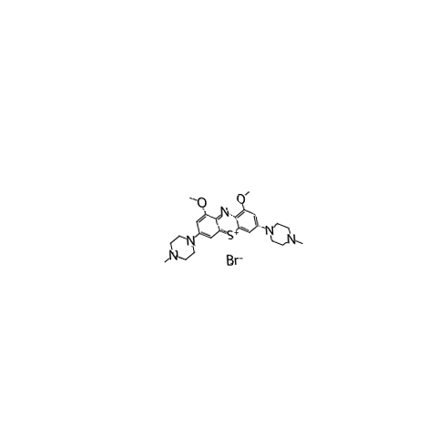 COc1cc(N2CCN(C)CC2)cc2[s+]c3cc(N4CCN(C)CC4)cc(OC)c3nc12.[Br-]